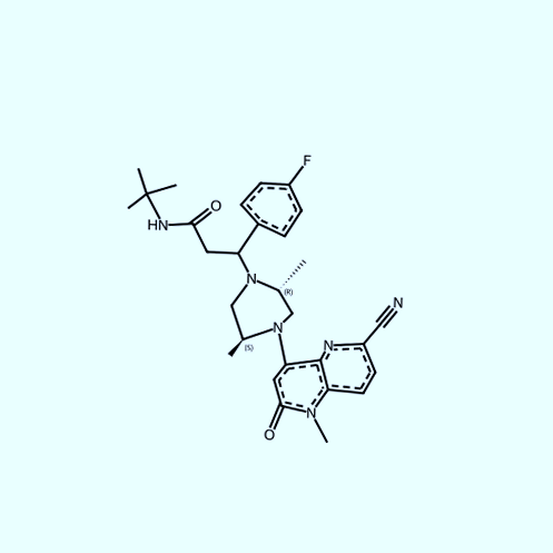 C[C@@H]1CN(c2cc(=O)n(C)c3ccc(C#N)nc23)[C@@H](C)CN1C(CC(=O)NC(C)(C)C)c1ccc(F)cc1